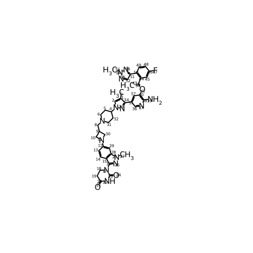 Cc1cn(C2CCN(CC3CN(c4ccc5c(N6CCC(=O)NC6=O)nn(C)c5c4)C3)CC2)nc1-c1cnc(N)c(O[C@H](C)c2cc(F)ccc2-c2cnn(C)n2)c1